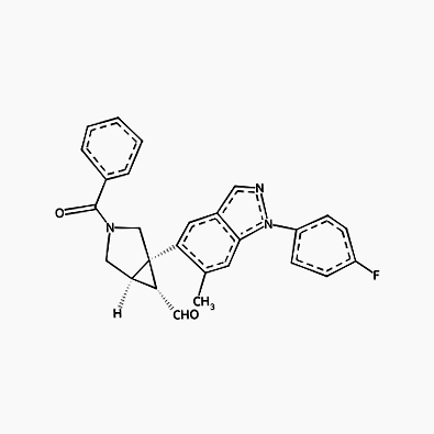 Cc1cc2c(cnn2-c2ccc(F)cc2)cc1[C@@]12CN(C(=O)c3ccccc3)C[C@@H]1[C@H]2C=O